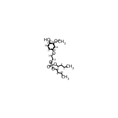 CCCCOP(=O)(OCCCC)OCCOc1ccc(O)c(OC)c1